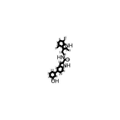 Cc1[nH]c2c(F)ccc(C)c2c1CCNC(=O)c1cc2cc(-c3cccc(O)c3)ccc2[nH]1